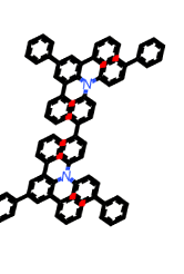 c1ccc(-c2ccc(N(c3ccc(-c4ccc(N(c5ccc(-c6ccccc6)cc5)c5c(-c6ccccc6)cc(-c6ccccc6)cc5-c5ccccc5)cc4)cc3)c3c(-c4ccccc4)cc(-c4ccccc4)cc3-c3ccccc3)cc2)cc1